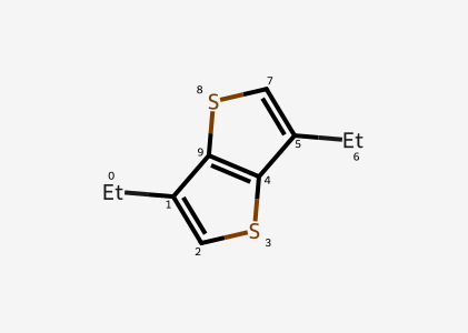 CCc1csc2c(CC)csc12